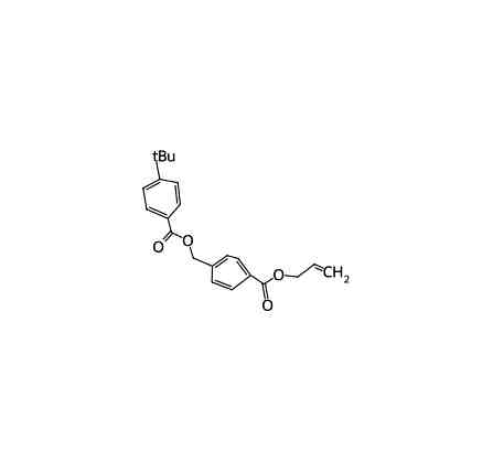 C=CCOC(=O)c1ccc(COC(=O)c2ccc(C(C)(C)C)cc2)cc1